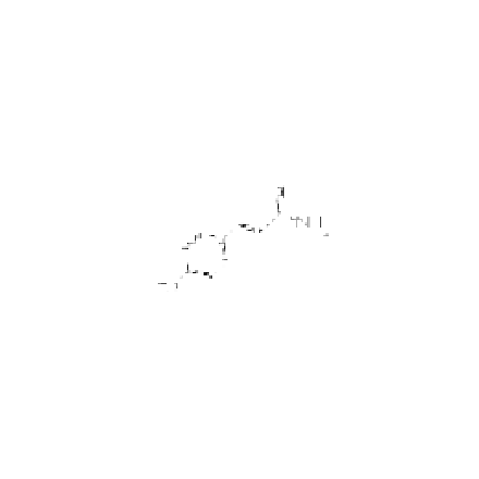 COc1ccc(C=CC(N)O)cc1